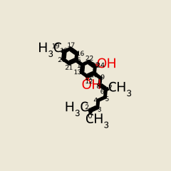 CC(C)=CCC/C(C)=C/Cc1c(O)cc(-c2ccc(C)cc2)cc1O